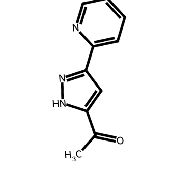 CC(=O)c1cc(-c2ccccn2)n[nH]1